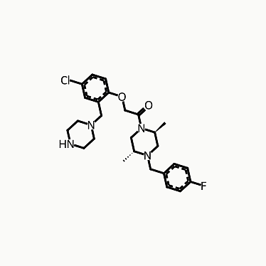 C[C@@H]1CN(C(=O)COc2ccc(Cl)cc2CN2CCNCC2)[C@@H](C)CN1Cc1ccc(F)cc1